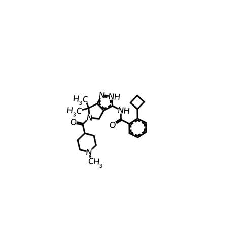 CN1CCC(C(=O)N2Cc3c(n[nH]c3NC(=O)c3ccccc3C3CCC3)C2(C)C)CC1